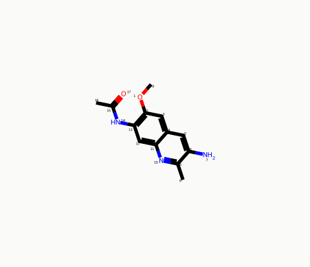 COc1cc2cc(N)c(C)nc2cc1NC(C)=O